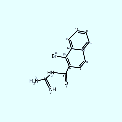 N=C(N)NC(=O)c1ccc2ccccc2c1Br